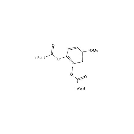 CCCCCC(=O)Oc1ccc(OC)cc1OC(=O)CCCCC